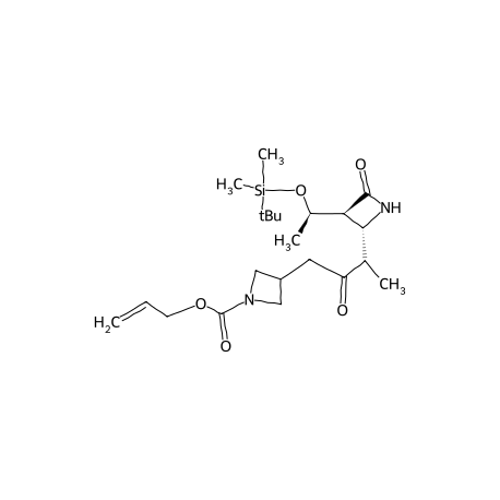 C=CCOC(=O)N1CC(CC(=O)C(C)[C@H]2NC(=O)[C@@H]2[C@@H](C)O[Si](C)(C)C(C)(C)C)C1